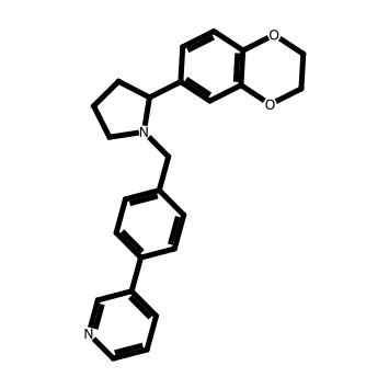 c1cncc(-c2ccc(CN3CCCC3c3ccc4c(c3)OCCO4)cc2)c1